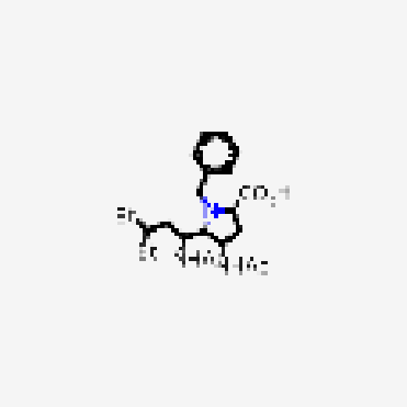 CCC(CC)C[C@H](NC(C)=O)[C@H]1[C@H](NC(C)=O)C[C@H](C(=O)O)N1Cc1ccccc1